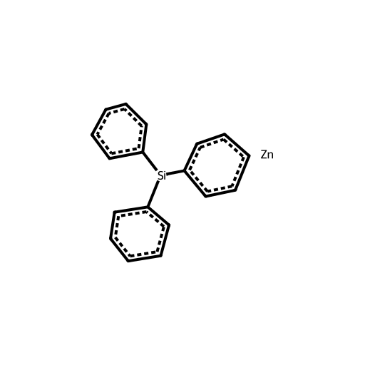 [Zn].c1ccc([Si](c2ccccc2)c2ccccc2)cc1